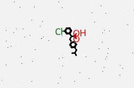 CC(C)Cc1ccc(CC(C(=O)O)c2cccc(Cl)c2)cc1